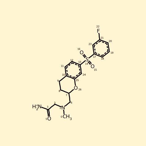 CN(CC(N)=O)CC1CCc2ccc(S(=O)(=O)c3cccc(F)c3)cc2O1